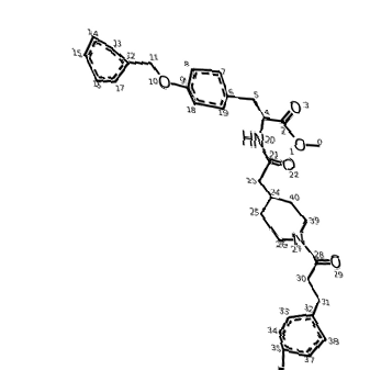 COC(=O)[C@H](Cc1ccc(OCc2ccccc2)cc1)NC(=O)CC1CCN(C(=O)CCc2ccc(Br)cc2)CC1